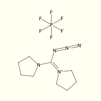 F[P-](F)(F)(F)(F)F.[N-]=[N+]=NC(N1CCCC1)=[N+]1CCCC1